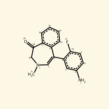 CN1C=C(c2cc(N)ccc2F)c2ccccc2C(=O)C1